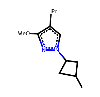 COc1nn(C2CC(C)C2)cc1C(C)C